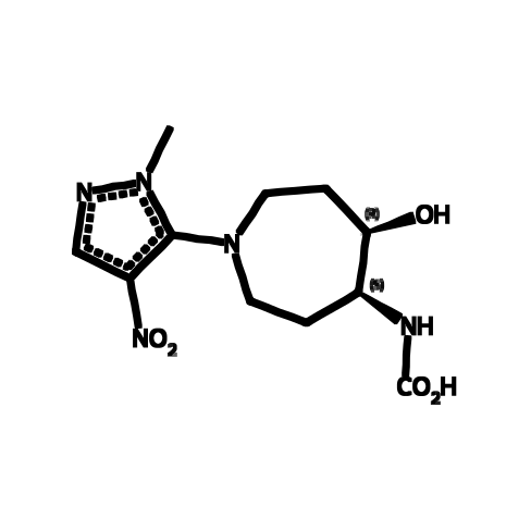 Cn1ncc([N+](=O)[O-])c1N1CC[C@@H](O)[C@@H](NC(=O)O)CC1